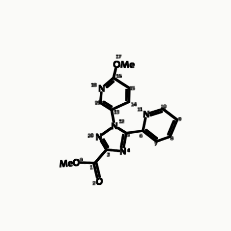 COC(=O)c1nc(-c2ccccn2)n(-c2ccc(OC)nc2)n1